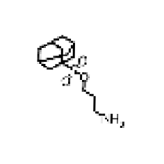 NCCCOS(=O)(=O)C12CC3CC(CC(C3)C1)C2